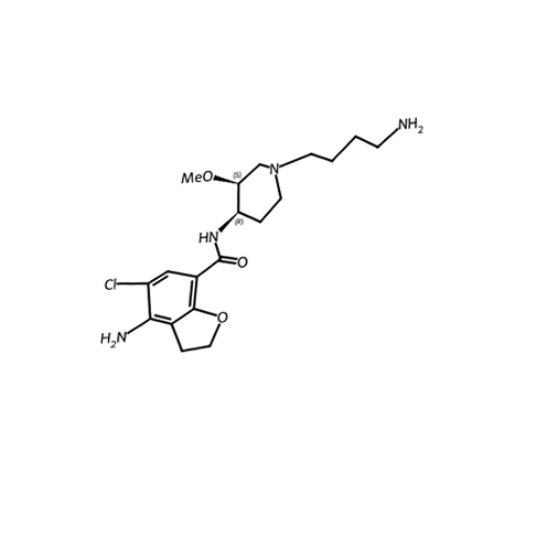 CO[C@H]1CN(CCCCN)CC[C@H]1NC(=O)c1cc(Cl)c(N)c2c1OCC2